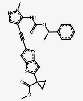 COC(=O)C1(c2cc3sc(C#Cc4cnn(C)c4NC(=O)O[C@H](C)c4ccccc4)cc3s2)CC1